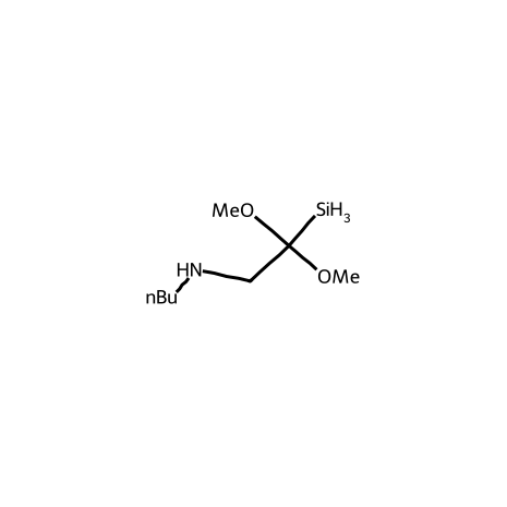 CCCCNCC([SiH3])(OC)OC